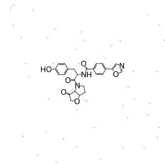 O=C(NC(Cc1ccc(O)cc1)C(=O)N1CCC2OCC(=O)C21)c1ccc(-c2cnco2)cc1